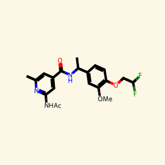 COc1cc(C(C)NC(=O)c2cc(C)nc(NC(C)=O)c2)ccc1OCC(F)F